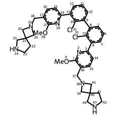 COc1nc(-c2cccc(-c3cccc(-c4ccc(CN5CC6(CCNC6)C5)c(OC)n4)c3Cl)c2Cl)ccc1CN1CC2(CCNC2)C1